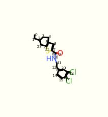 CCC1CCc2cc(C(=O)NCCc3ccc(Cl)c(Cl)c3)sc2C1